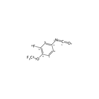 O=C=Nc1ccc(OC(F)(F)F)c(F)c1